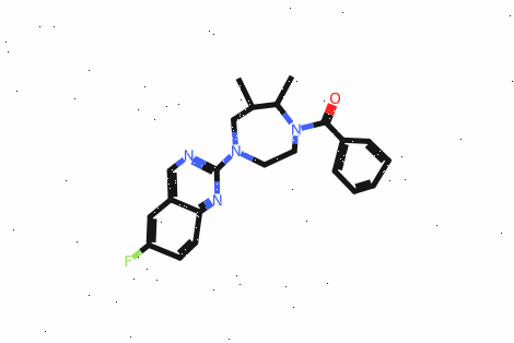 CC1CN(c2ncc3cc(F)ccc3n2)CCN(C(=O)c2ccccc2)C1C